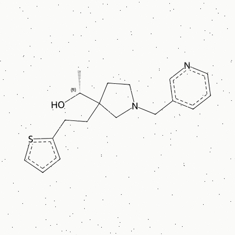 C[C@@H](O)C1(CCc2cccs2)CCN(Cc2cccnc2)C1